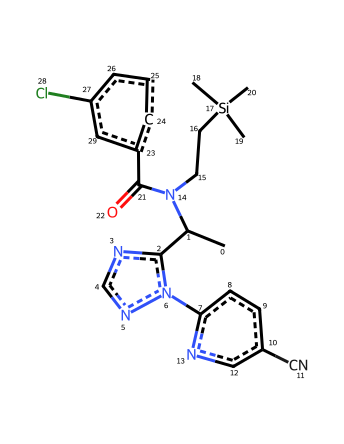 CC(c1ncnn1-c1ccc(C#N)cn1)N(CC[Si](C)(C)C)C(=O)c1cccc(Cl)c1